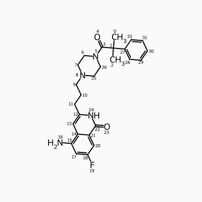 CC(C)(C(=O)N1CCN(CCCc2cc3c(N)cc(F)cc3c(=O)[nH]2)CC1)c1ccccc1